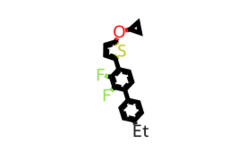 CCc1ccc(-c2ccc(-c3ccc(OC4CC4)s3)c(F)c2F)cc1